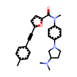 Cc1ccc(C#Cc2ccc(C(=O)N(C)c3ccc(N4CCC(N(C)C)C4)cc3)o2)cc1